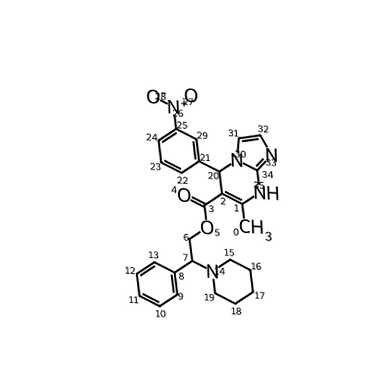 CC1=C(C(=O)OCC(c2ccccc2)N2CCCCC2)C(c2cccc([N+](=O)[O-])c2)n2ccnc2N1